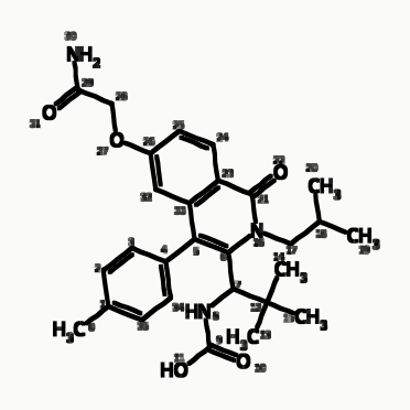 Cc1ccc(-c2c(C(NC(=O)O)C(C)(C)C)n(CC(C)C)c(=O)c3ccc(OCC(N)=O)cc23)cc1